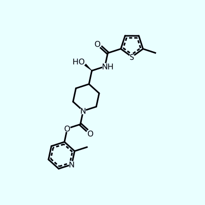 Cc1ccc(C(=O)N[C@H](O)C2CCN(C(=O)Oc3cccnc3C)CC2)s1